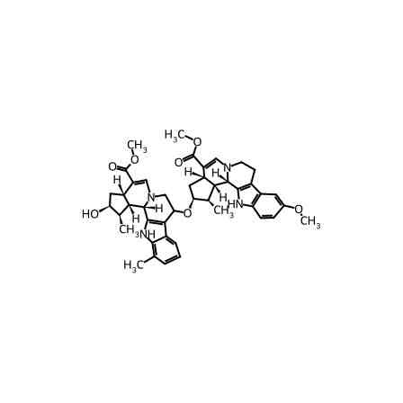 COC(=O)C1=CN2CCc3c([nH]c4ccc(OC)cc34)[C@@H]2[C@@H]2[C@@H](C)[C@@H](OC3CN4C=C(C(=O)OC)[C@H]5C[C@H](O)[C@H](C)[C@H]5[C@H]4c4[nH]c5c(C)cccc5c43)C[C@H]12